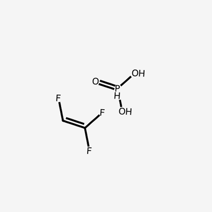 FC=C(F)F.O=[PH](O)O